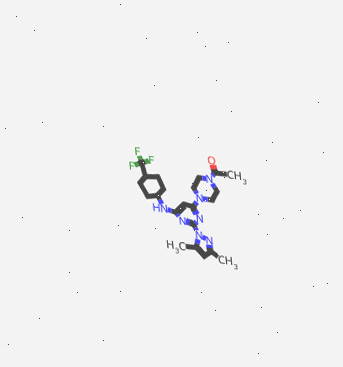 CC(=O)N1CCN(c2cc(NC3CCC(C(F)(F)F)CC3)nc(-n3nc(C)cc3C)n2)CC1